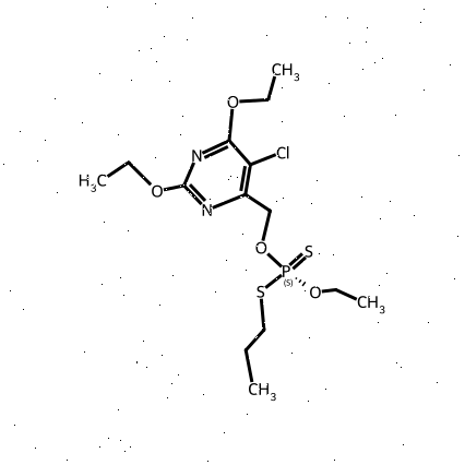 CCCS[P@@](=S)(OCC)OCc1nc(OCC)nc(OCC)c1Cl